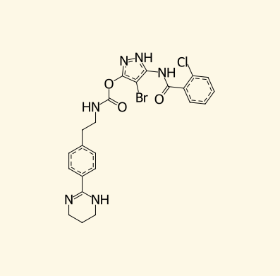 O=C(NCCc1ccc(C2=NCCCN2)cc1)Oc1n[nH]c(NC(=O)c2ccccc2Cl)c1Br